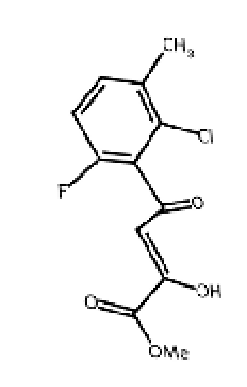 COC(=O)C(O)=CC(=O)c1c(F)ccc(C)c1Cl